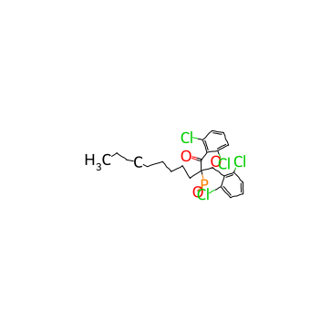 CCCCCCCCCC(P=O)(C(=O)c1c(Cl)cccc1Cl)C(=O)c1c(Cl)cccc1Cl